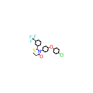 O=C1CCSC(c2cccc(C(F)(F)F)c2)N1c1ccc(Oc2ccc(Cl)cc2)cc1